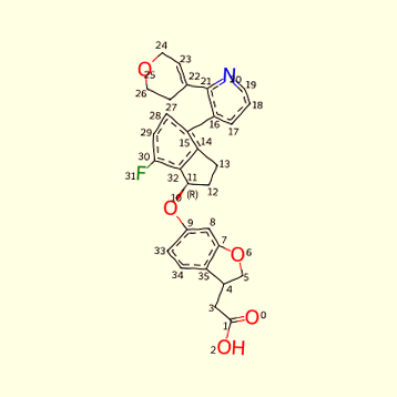 O=C(O)CC1COc2cc(O[C@@H]3CCc4c(-c5cccnc5C5=CCOCC5)ccc(F)c43)ccc21